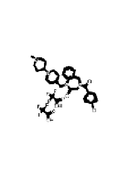 CN1CCC(N2CCC(CN3C(=O)CN(C(=O)c4ccc(Cl)cc4)Cc4ccccc43)CC2)CC1.O=C(O)C(F)(F)F.O=C(O)C(F)(F)F